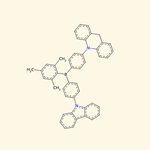 Cc1cc(C)c(B(c2ccc(N3c4ccccc4Cc4ccccc43)cc2)c2ccc(-n3c4ccccc4c4ccccc43)cc2)c(C)c1